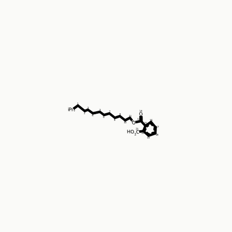 CC(C)CCCCCCCCCCCOC(=O)c1ccccc1C(=O)O